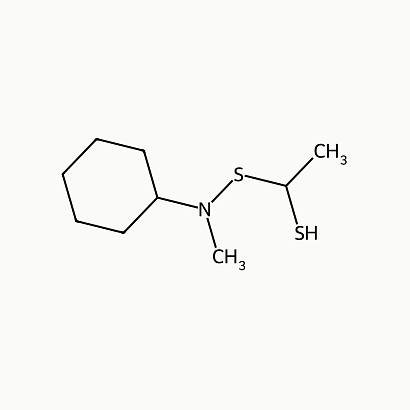 CC(S)SN(C)C1CCCCC1